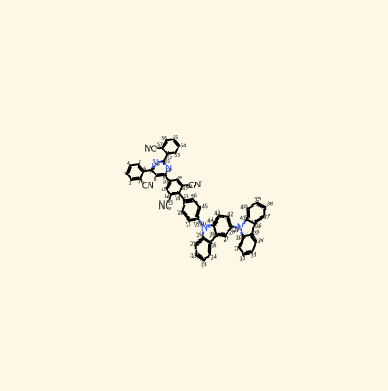 N#Cc1ccccc1-c1cc(-c2cc(C#N)c(-c3ccc(-n4c5ccccc5c5cc(-n6c7ccccc7c7ccccc76)ccc54)cc3)c(C#N)c2)nc(-c2ccccc2C#N)n1